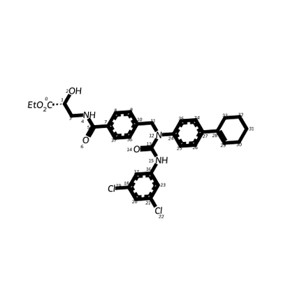 CCOC(=O)[C@H](O)CNC(=O)c1ccc(CN(C(=O)Nc2cc(Cl)cc(Cl)c2)c2ccc(C3=CCCCC3)cc2)cc1